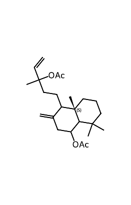 C=CC(C)(CCC1C(=C)CC(OC(C)=O)C2C(C)(C)CCC[C@@]12C)OC(C)=O